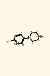 Fc1ccc(N2CCNCC2)cn1